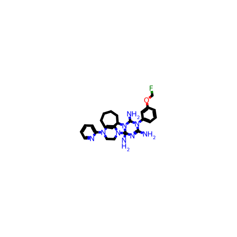 NC1=NC(N)(N2CCN(c3ccccn3)CC2)N(C2CCCCCC2)C(N)N1c1cccc(OCF)c1